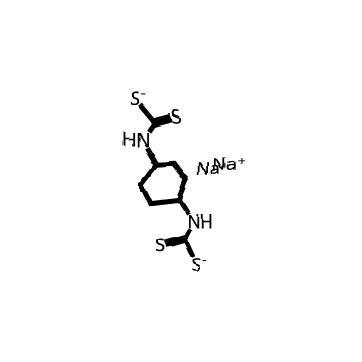 S=C([S-])NC1CCC(NC(=S)[S-])CC1.[Na+].[Na+]